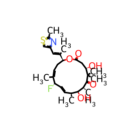 C/C1=C/C[C@@H](/C(C)=C/c2csc(C)n2)OC(=O)C[C@H](O)C(C)(C)C(=O)[C@H](C)[C@@H](O)[C@@H](C)/C=C/[C@@H]1F